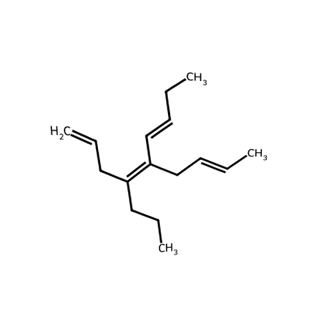 C=CCC(CCC)=C(C=CCC)CC=CC